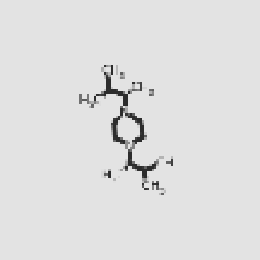 CC(C)[C@@H](C)N1CCN([C@H](C)C(C)C)CC1